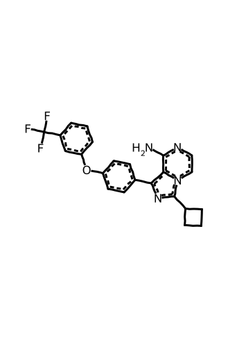 Nc1nccn2c(C3CCC3)nc(-c3ccc(Oc4cccc(C(F)(F)F)c4)cc3)c12